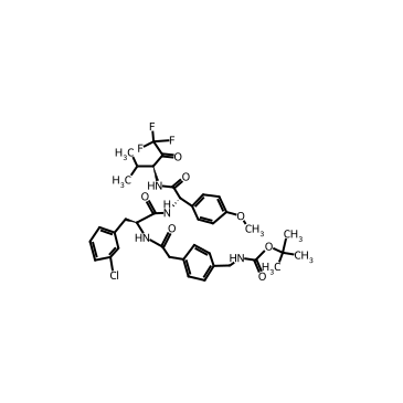 COc1ccc([C@H](NC(=O)[C@H](Cc2cccc(Cl)c2)NC(=O)Cc2ccc(CNC(=O)OC(C)(C)C)cc2)C(=O)N[C@H](C(=O)C(F)(F)F)C(C)C)cc1